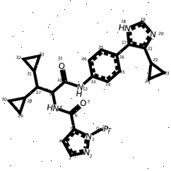 CC(C)n1nccc1C(=O)NC(C(=O)Nc1ccc(-c2[nH]cnc2C2CC2)cc1)C(C1CC1)C1CC1